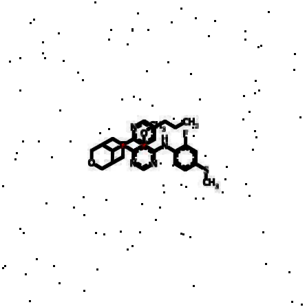 CCCc1cnc(N2CC3COCC(C2)C3Oc2ncnc(Nc3ccc(SC)cc3F)c2OC)nc1